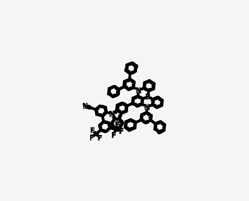 N#Cc1ccc(-n2c3ccccc3c3cc(-c4cc5c6c(c4)N(c4cc(-c7ccccc7)cc(-c7ccccc7)c4)c4ccccc4B6c4ccccc4N5c4cc(-c5ccccc5)cc(-c5ccccc5)c4)ccc32)c(-c2cc(C(F)(F)F)cc(C(F)(F)F)c2)c1